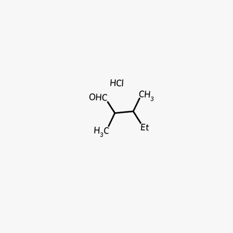 CCC(C)C(C)C=O.Cl